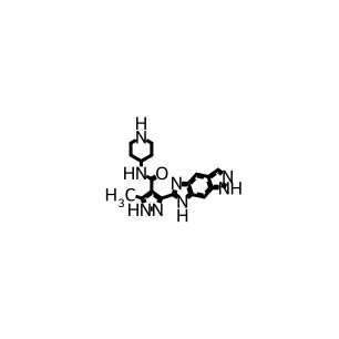 Cc1[nH]nc(-c2nc3cc4cn[nH]c4cc3[nH]2)c1C(=O)NC1CCNCC1